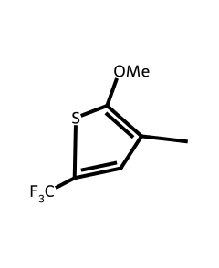 COc1sc(C(F)(F)F)cc1C